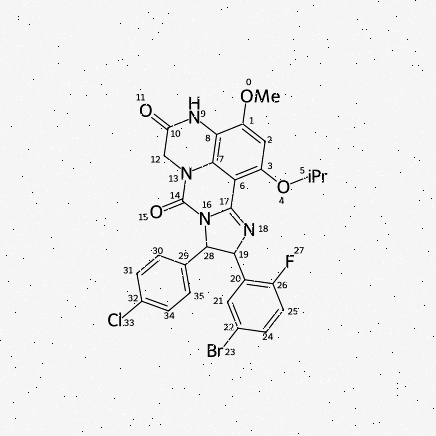 COc1cc(OC(C)C)c2c3c1NC(=O)CN3C(=O)N1C2=NC(c2cc(Br)ccc2F)C1c1ccc(Cl)cc1